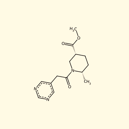 COC(=O)[C@@H]1CC[C@H](C)N(C(=O)Cc2cncnc2)C1